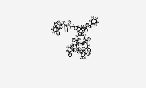 O=C(CCOCC(COCCC(=O)NCC(=O)ON1C(=O)CCC1=O)(COCCC(=O)NCC(=O)ON1C(=O)CCC1=O)NC(=O)OCc1ccccc1)NCC(=O)ON1C(=O)CCC1=O